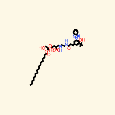 CCCCCCCCCCCCCCCCCC(=O)OCC(CO)OC(=O)CC(CNCCNC(=O)CCc1cc(-n2nc3ccccc3n2)c(O)c(C(C)(C)C)c1)C(=O)O